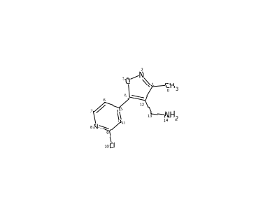 Cc1noc(-c2ccnc(Cl)c2)c1CN